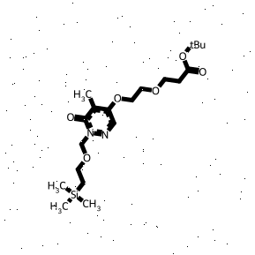 Cc1c(OCCOCCC(=O)OC(C)(C)C)cnn(COCC[Si](C)(C)C)c1=O